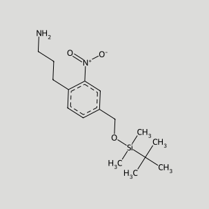 CC(C)(C)[Si](C)(C)OCc1ccc(CCCN)c([N+](=O)[O-])c1